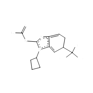 CC(C)(C)C(=O)Nc1nc2c(n1C1CCC1)=CC(C(C)(C)O)CC=2